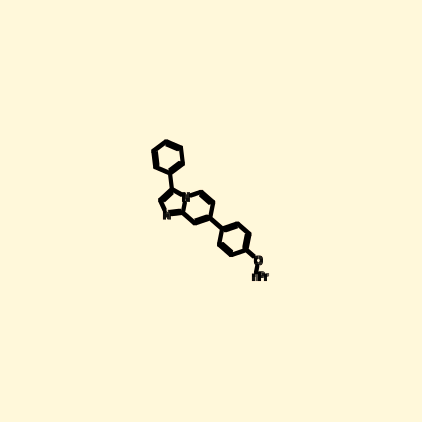 CCCOc1ccc(-c2ccn3c(-c4ccccc4)cnc3c2)cc1